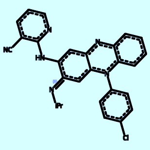 CC(C)/N=c1\cc2n(-c3ccc(Cl)cc3)c3ccccc3nc-2cc1Nc1ncccc1C#N